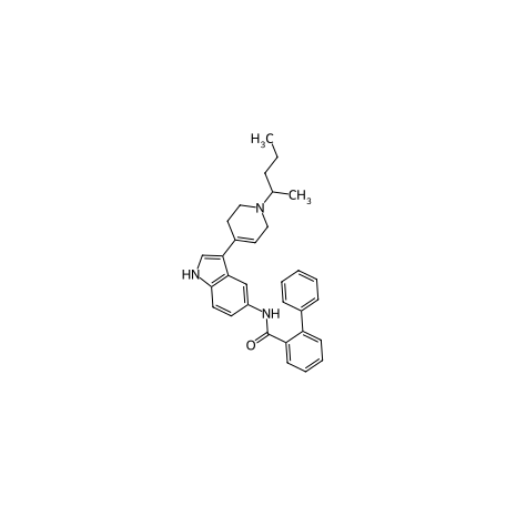 CCCC(C)N1CC=C(c2c[nH]c3ccc(NC(=O)c4ccccc4-c4ccccc4)cc23)CC1